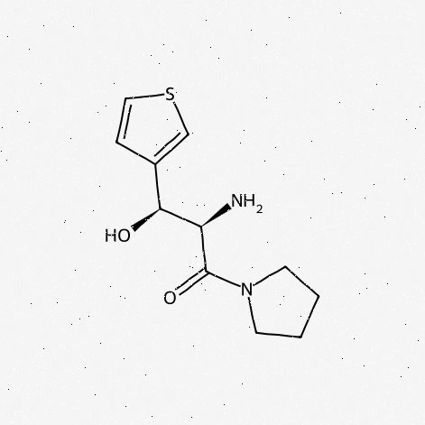 N[C@@H](C(=O)N1CCCC1)[C@@H](O)c1ccsc1